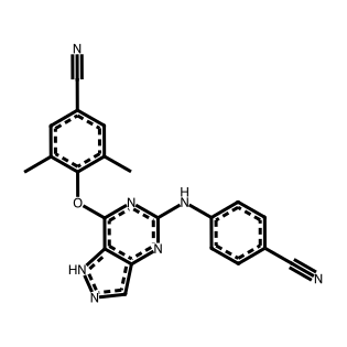 Cc1cc(C#N)cc(C)c1Oc1nc(Nc2ccc(C#N)cc2)nc2cn[nH]c12